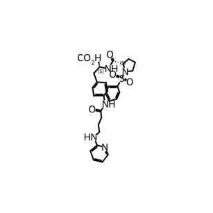 O=C(CCCNc1ccccn1)Nc1ccc(C[C@H](NC(=O)[C@@H]2CCCN2S(=O)(=O)c2ccccc2)C(=O)O)cc1